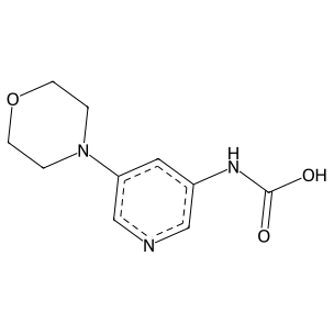 O=C(O)Nc1cncc(N2CCOCC2)c1